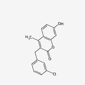 Cc1c(Cc2cccc(Cl)c2)c(=O)oc2cc(O)ccc12